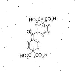 O=C(C1C=CC(C(=O)O)(C(=O)O)C=C1)C1C=CCC(C(=O)O)(C(=O)O)C1